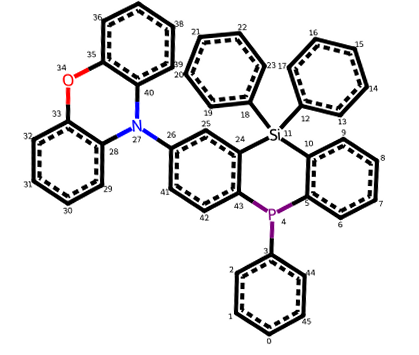 c1ccc(P2c3ccccc3[Si](c3ccccc3)(c3ccccc3)c3cc(N4c5ccccc5Oc5ccccc54)ccc32)cc1